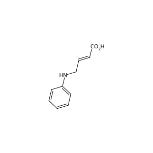 O=C(O)C=CCNc1ccccc1